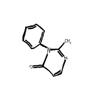 Cc1nccc(=O)n1-c1ccccc1